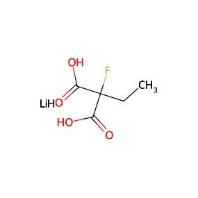 CCC(F)(C(=O)O)C(=O)O.[LiH]